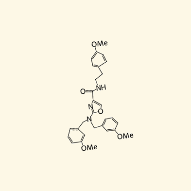 COc1ccc(CCNC(=O)c2coc(N(Cc3cccc(OC)c3)Cc3cccc(OC)c3)n2)cc1